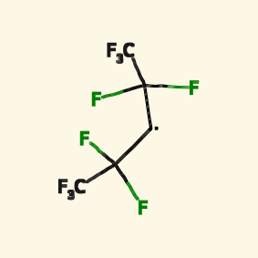 FC(F)(F)C(F)(F)[CH]C(F)(F)C(F)(F)F